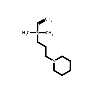 C=C[Si](C)(C)CCCN1CCCCC1